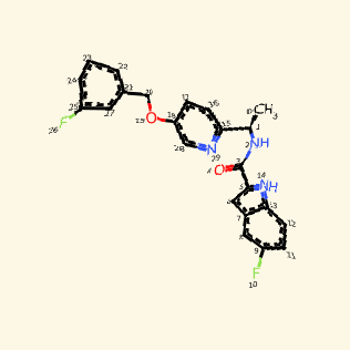 C[C@@H](NC(=O)c1cc2cc(F)ccc2[nH]1)c1ccc(OCc2cccc(F)c2)cn1